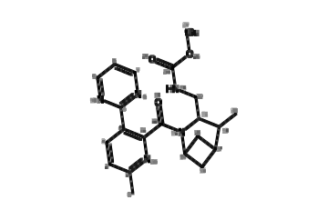 Cc1ccc(-c2ncccn2)c(C(=O)N2C3CC(C3)C(C)C2CNC(=O)OC(C)(C)C)n1